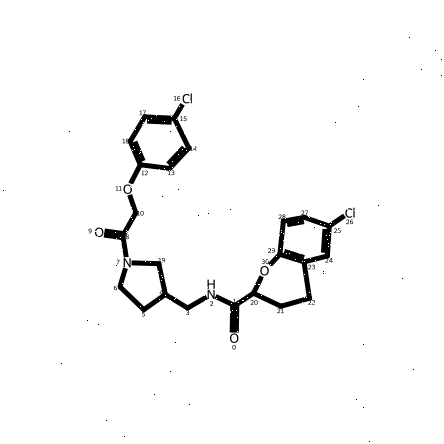 O=C(NCC1CCN(C(=O)COc2ccc(Cl)cc2)C1)C1CCc2cc(Cl)ccc2O1